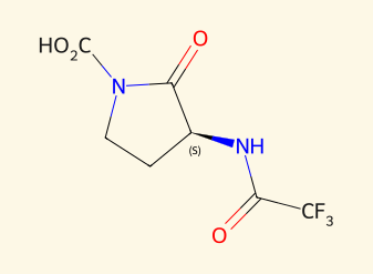 O=C(O)N1CC[C@H](NC(=O)C(F)(F)F)C1=O